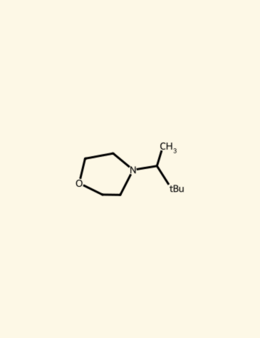 CC(N1CCOCC1)C(C)(C)C